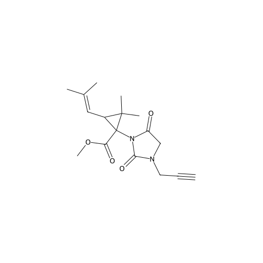 C#CCN1CC(=O)N(C2(C(=O)OC)C(C=C(C)C)C2(C)C)C1=O